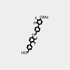 COc1ccc(-c2ccc(COc3ccc(-c4ccc(CO)cc4)c(F)c3F)cc2)c(F)c1F